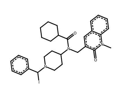 Cn1c(=O)c(CN(C(=O)C2CCCCC2)C2CCN(C(I)c3ccccc3)CC2)cc2ccccc21